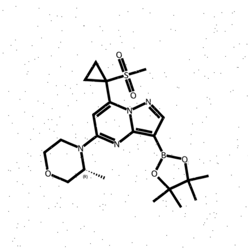 C[C@@H]1COCCN1c1cc(C2(S(C)(=O)=O)CC2)n2ncc(B3OC(C)(C)C(C)(C)O3)c2n1